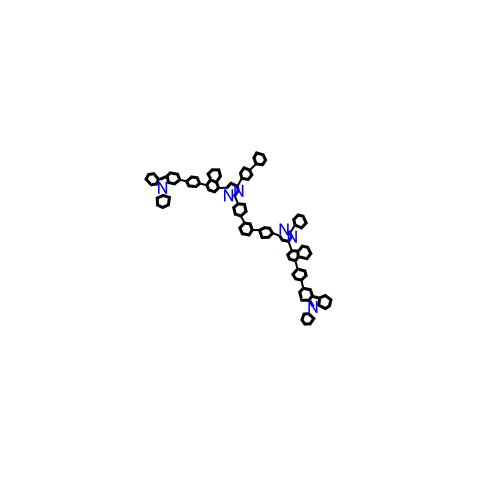 c1ccc(-c2ccc(-c3cc(-c4ccc(-c5ccc(-c6ccc7c8ccccc8n(-c8ccccc8)c7c6)cc5)c5ccccc45)nc(-c4ccc(-c5cccc(-c6ccc(-c7cc(-c8ccc(-c9ccc(-c%10ccc%11c(c%10)c%10ccccc%10n%11-c%10ccccc%10)cc9)c9ccccc89)nc(-c8ccccc8)n7)cc6)c5)cc4)n3)cc2)cc1